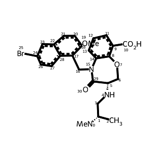 CN[C@@H](C)CN[C@H]1COc2c(C(=O)O)cccc2N(Cc2c(OC)ccc3cc(Br)ccc23)C1=O